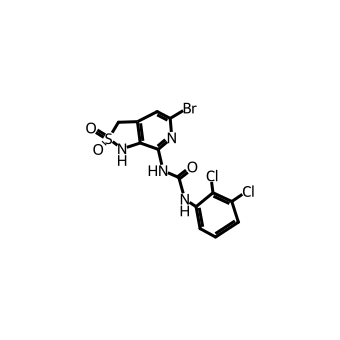 O=C(Nc1cccc(Cl)c1Cl)Nc1nc(Br)cc2c1NS(=O)(=O)C2